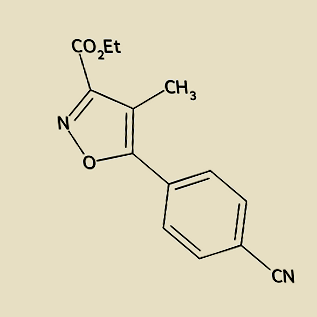 CCOC(=O)c1noc(-c2ccc(C#N)cc2)c1C